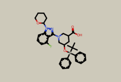 CC(C)(C)[Si](OC1CC(C(=O)O)CN(c2nn(C3CCCCO3)c3cccc(F)c23)C1)(c1ccccc1)c1ccccc1